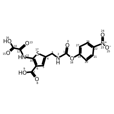 O=C(NCc1cc(C(=O)O)c(NC(=O)C(=O)O)s1)Oc1ccc([N+](=O)[O-])cc1